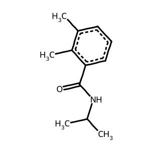 Cc1cccc(C(=O)NC(C)C)c1C